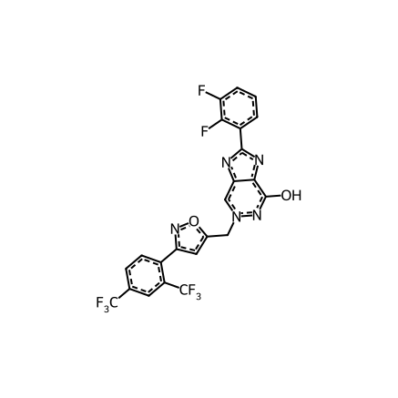 Oc1nn(Cc2cc(-c3ccc(C(F)(F)F)cc3C(F)(F)F)no2)cc2nc(-c3cccc(F)c3F)nc1-2